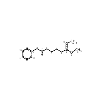 CO[SiH](CCCCNCc1ccccc1)OC